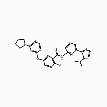 CC(C)n1cnnc1-c1cccc(NC(=O)c2cc(Oc3ccnc(N4CCCC4)n3)ccc2F)n1